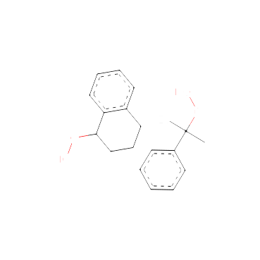 CCC(C)(OO)c1ccccc1.OOC1CCCc2ccccc21